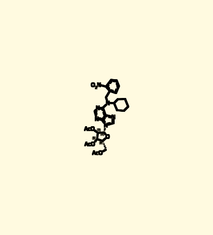 CC(=O)OC[C@H]1O[C@@H](n2cnc3c(N(Cc4ccccc4[N+](=O)[O-])C4CCCCC4)ncnc32)[C@H](OC(C)=O)[C@@H]1OC(C)=O